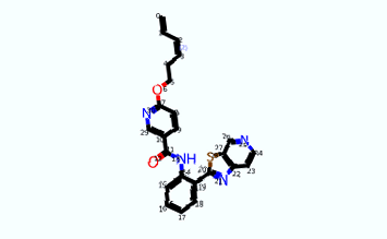 C=C/C=C\CCOc1ccc(C(=O)Nc2ccccc2-c2nc3ccncc3s2)cn1